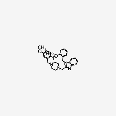 COc1ccc(F)c(CN2CCN(Cc3nc4ccccc4n3Cc3ccccc3OC)CC2)c1